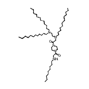 CCCCCCCCCCCCN(CCCCCCCCCCCC)CCN(CCCCCCCCCCCC)CC(=O)N1CCN(C(=O)CNCCCCCCCCC)CC1